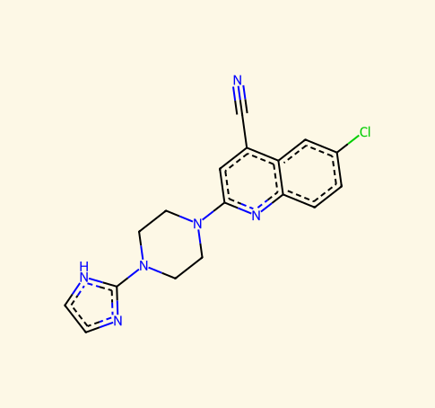 N#Cc1cc(N2CCN(c3ncc[nH]3)CC2)nc2ccc(Cl)cc12